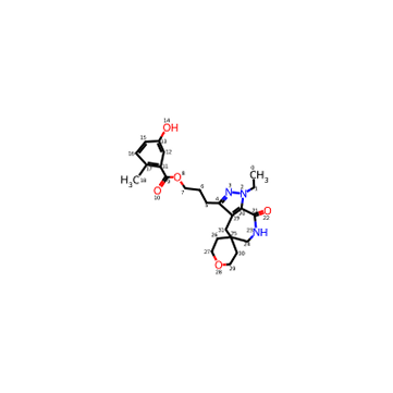 CCn1nc(CCCOC(=O)c2cc(O)ccc2C)c2c1C(=O)NCC1(CCOCC1)C2